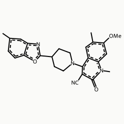 COc1cc2c(cc1C)c(N1CCC(c3nc4cc(C)ccc4o3)CC1)c(C#N)c(=O)n2C